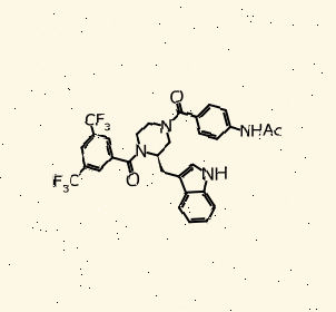 CC(=O)Nc1ccc(C(=O)N2CCN(C(=O)c3cc(C(F)(F)F)cc(C(F)(F)F)c3)[C@H](Cc3c[nH]c4ccccc34)C2)cc1